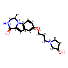 C[C@@H]1CNC(=O)c2cc3cc(OCCCN4CC[C@@H](O)C4)ccc3n21